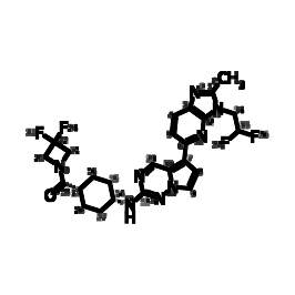 Cc1nc2ccc(-c3ccn4nc(N[C@H]5CC[C@@H](C(=O)N6CC(F)(F)C6)CC5)ncc34)nc2n1CC(F)F